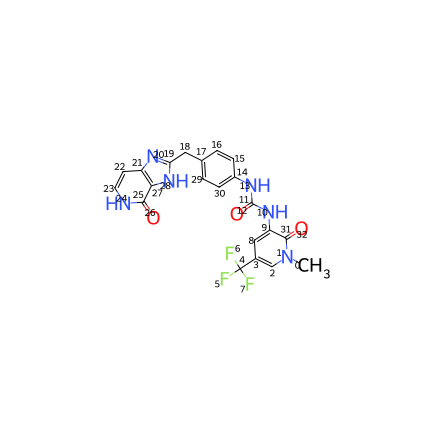 Cn1cc(C(F)(F)F)cc(NC(=O)Nc2ccc(Cc3nc4cc[nH]c(=O)c4[nH]3)cc2)c1=O